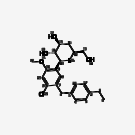 CCc1ccc(Cc2cc([C@@H]3S[C@H](CO)C[C@H](O)[C@H]3O)c(OC)cc2Cl)cc1